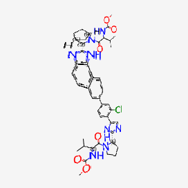 COC(=O)NC(C(=O)N1[C@@H]2CC[C@@H](C2)[C@H]1c1nc2ccc3cc(-c4ccc(-c5cnc([C@@H]6CCCN6C(=O)[C@@H](NC(=O)OC)C(C)C)[nH]5)c(Cl)c4)ccc3c2[nH]1)C(C)C